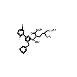 CNC(=O)N(CCC(N)COC)[C@@H](c1nc(-c2cc(F)ccc2F)cn1Cc1ccccc1)C(C)(C)C